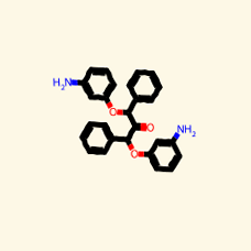 Nc1cccc(OC(C(=O)C(Oc2cccc(N)c2)c2ccccc2)c2ccccc2)c1